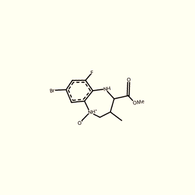 COC(=O)C1Nc2c(F)cc(Br)cc2[NH+]([O-])CC1C